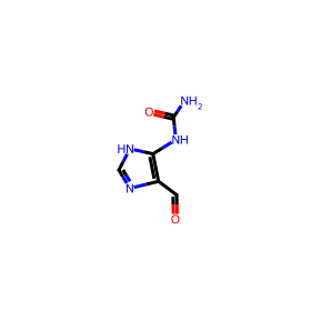 NC(=O)Nc1[nH]cnc1C=O